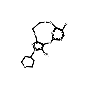 Cc1c2c(nn1C1CCOCC1)OCCCOc1nc(ncc1Cl)N2